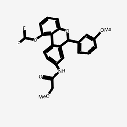 COCC(=O)Nc1ccc2c(c1)C(c1cccc(OC)c1)Oc1cccc(OC(F)F)c1-2